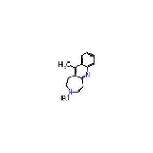 CCC(C)N1CCc2nc3ccccc3c(C)c2CC1